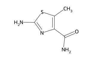 Cc1sc(N)nc1C(N)=O